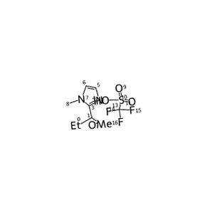 CCC(OC)c1nccn1C.O=S(=O)(O)C(F)(F)F